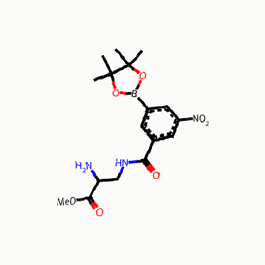 COC(=O)C(N)CNC(=O)c1cc(B2OC(C)(C)C(C)(C)O2)cc([N+](=O)[O-])c1